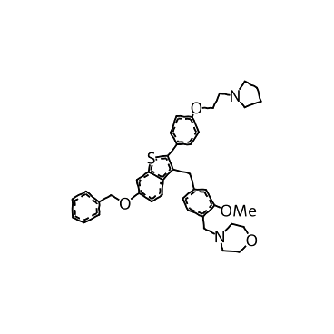 COc1cc(Cc2c(-c3ccc(OCCN4CCCC4)cc3)sc3cc(OCc4ccccc4)ccc23)ccc1CN1CCOCC1